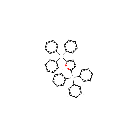 c1ccc([Si](c2ccccc2)(c2ccccc2)c2ccc([Si](c3ccccc3)(c3ccccc3)c3ccccc3)o2)cc1